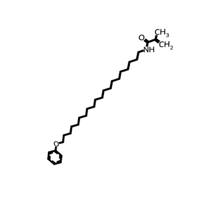 C=C(C)C(=O)NCCCCCCCCCCCCCCCCCCCCOc1ccccc1